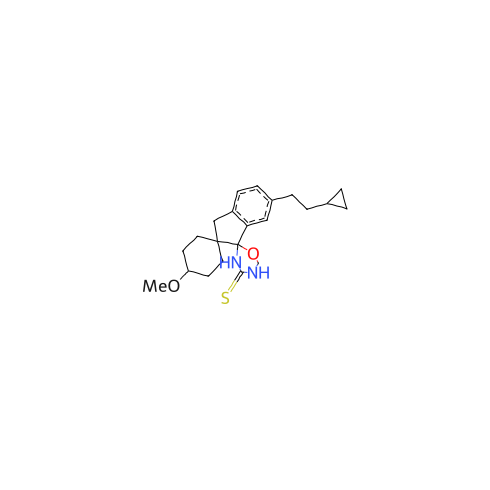 COC1CCC2(CC1)Cc1ccc(CCC3CC3)cc1C21NC(=S)NCO1